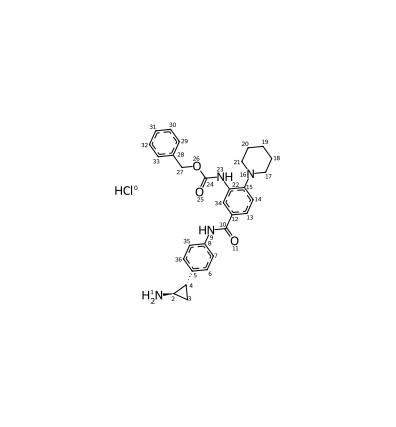 Cl.N[C@@H]1C[C@H]1c1ccc(NC(=O)c2ccc(N3CCCCC3)c(NC(=O)OCc3ccccc3)c2)cc1